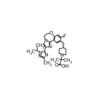 Cc1nc(-c2cn3c(n2)-c2cc(SC4CCN(C(C)(C)C(=O)O)CC4)c(F)cc2OCC3)n(C(C)C)n1